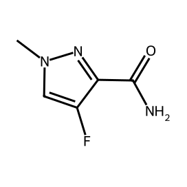 Cn1cc(F)c(C(N)=O)n1